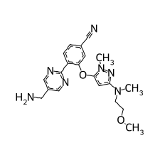 COCCN(C)c1cc(Oc2cc(C#N)ccc2-c2ncc(CN)cn2)n(C)n1